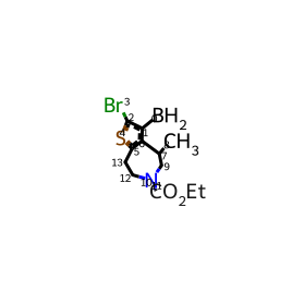 Bc1c(Br)sc2c1C(C)CN(C(=O)OCC)CC2